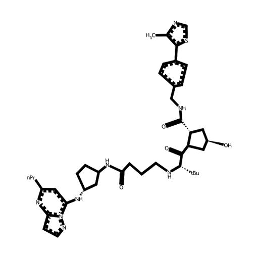 CCCc1cc(N[C@@H]2CCC(NC(=O)CCCN[C@H](C(=O)C3C[C@H](O)C[C@H]3C(=O)NCc3ccc(-c4scnc4C)cc3)C(C)(C)C)C2)n2nccc2n1